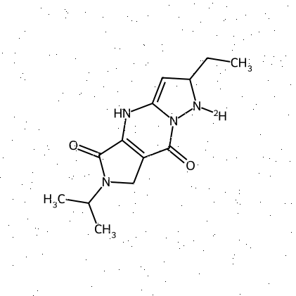 [2H]N1C(CC)C=C2NC3=C(CN(C(C)C)C3=O)C(=O)N21